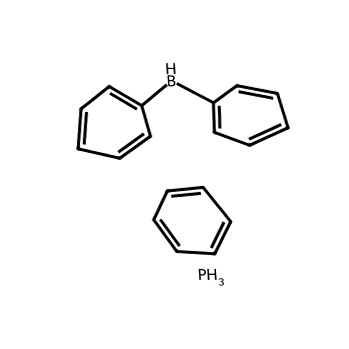 B(c1ccccc1)c1ccccc1.P.c1ccccc1